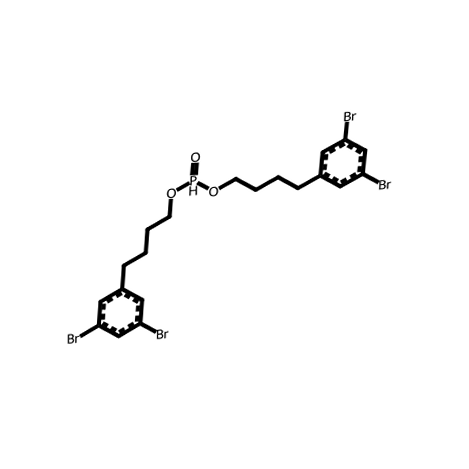 O=[PH](OCCCCc1cc(Br)cc(Br)c1)OCCCCc1cc(Br)cc(Br)c1